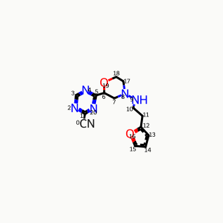 N#Cc1ncnc(C2CN(NCCc3ccco3)CCO2)n1